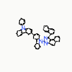 c1ccc(-n2c3ccccc3c3cc(-c4ccc5c(c4)c4ccccc4n5-c4nc(-c5cccc6ccccc56)c5c(ccc6ccccc65)n4)ccc32)cc1